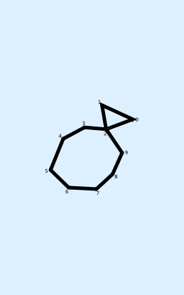 [CH]1CC12CCCCCCC2